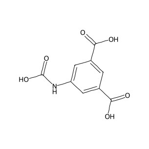 O=C(O)Nc1cc(C(=O)O)cc(C(=O)O)c1